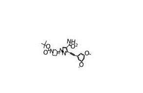 COc1cc(C#Cc2nn([C@H]3CCN(C(=O)OC(C)(C)C)C3)cc2C(N)=O)cc(OC)c1